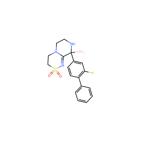 BC1(c2ccc(-c3ccccc3)c(F)c2)NCCN2CCS(=O)(=O)N=C21